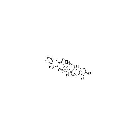 CC(C)N(Cc1ccccc1)C(=O)C1CC[C@H]2[C@@H]3CCC4NC(=O)C=C[C@]4(C)[C@@H]3CC[C@]12C